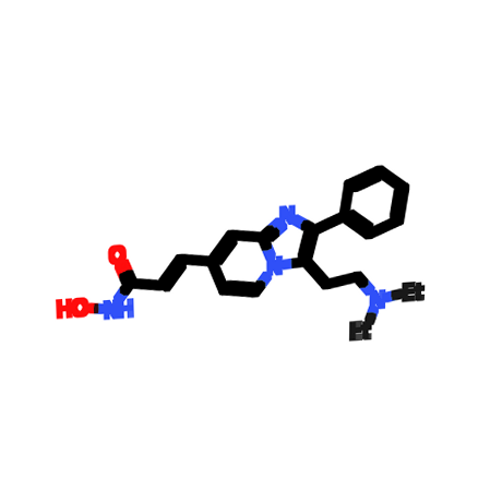 CCN(CC)CCc1c(-c2ccccc2)nc2cc(/C=C/C(=O)NO)ccn12